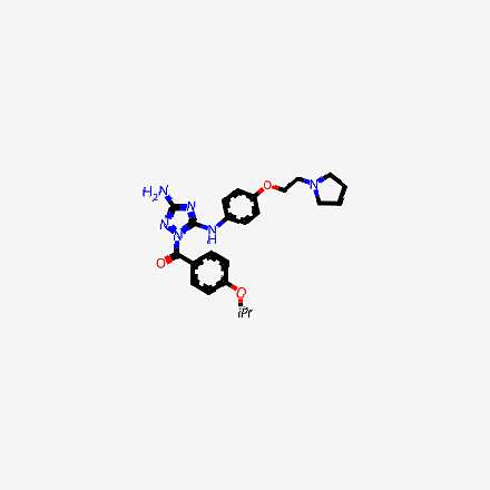 CC(C)Oc1ccc(C(=O)n2nc(N)nc2Nc2ccc(OCCN3CCCC3)cc2)cc1